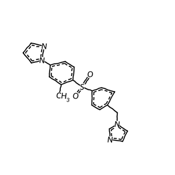 Cc1cc(-n2cccn2)ccc1S(=O)(=O)c1ccc(Cn2ccnc2)cc1